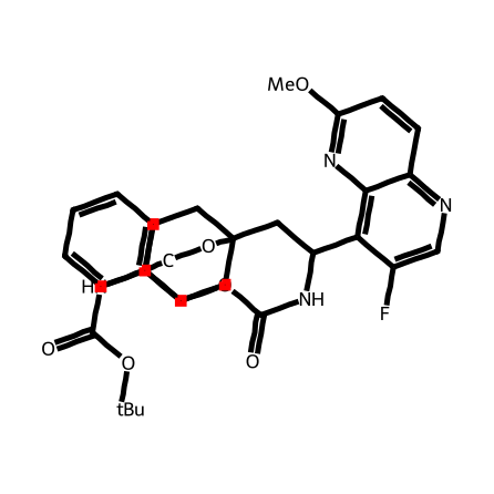 COc1ccc2ncc(F)c(C(CC34CCC(NC(=O)OC(C)(C)C)(CC3)CO4)NC(=O)OCc3ccccc3)c2n1